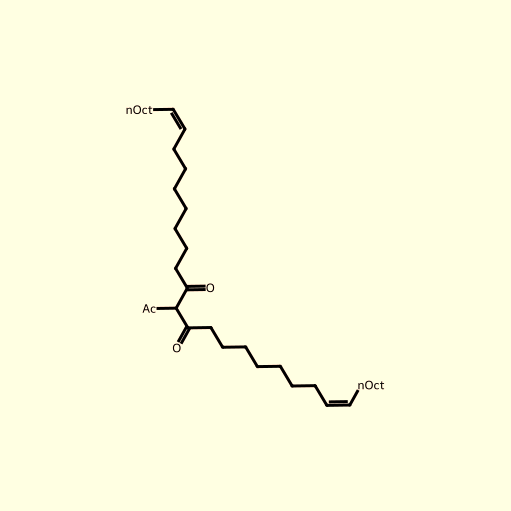 CCCCCCCC/C=C\CCCCCCCC(=O)C(C(C)=O)C(=O)CCCCCCC/C=C\CCCCCCCC